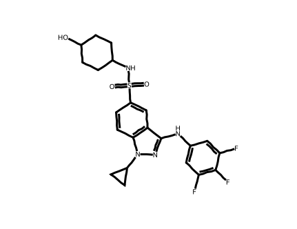 O=S(=O)(NC1CCC(O)CC1)c1ccc2c(c1)c(Nc1cc(F)c(F)c(F)c1)nn2C1CC1